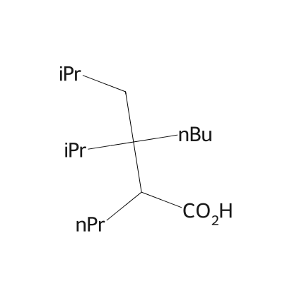 CCCCC(CC(C)C)(C(C)C)C(CCC)C(=O)O